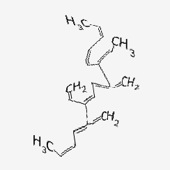 C=CC(=C\C=C/C)/C(C=C)=C/C=C(C=C)/C(/C=C\C=C/C)=C/C